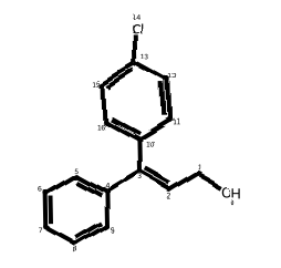 OCC=C(c1ccccc1)c1ccc(Cl)cc1